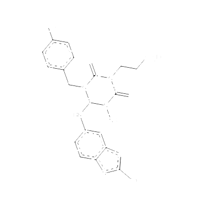 CCOC(=O)CCN1C(=O)N(N)C(Nc2ccc3nc(C(C)C)sc3c2)N(Cc2ccc(C)cc2)C1=O